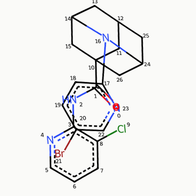 O=C(Nc1ncccc1Cl)C12CC3CC(C1)N(c1ccc(Br)cn1)C(C3)C2